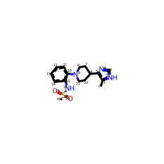 Cc1[nH]cnc1C1CCN(c2ccccc2NS(C)(=O)=O)CC1